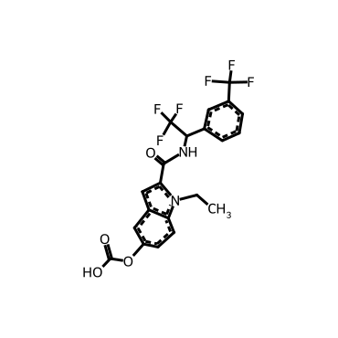 CCn1c(C(=O)NC(c2cccc(C(F)(F)F)c2)C(F)(F)F)cc2cc(OC(=O)O)ccc21